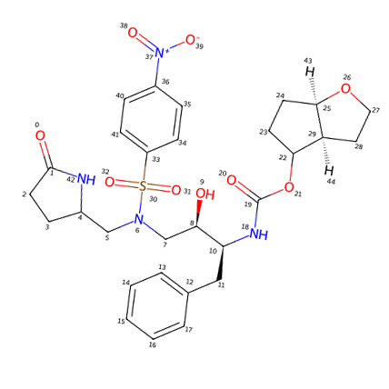 O=C1CCC(CN(C[C@@H](O)[C@H](Cc2ccccc2)NC(=O)OC2CC[C@H]3OCC[C@@H]23)S(=O)(=O)c2ccc([N+](=O)[O-])cc2)N1